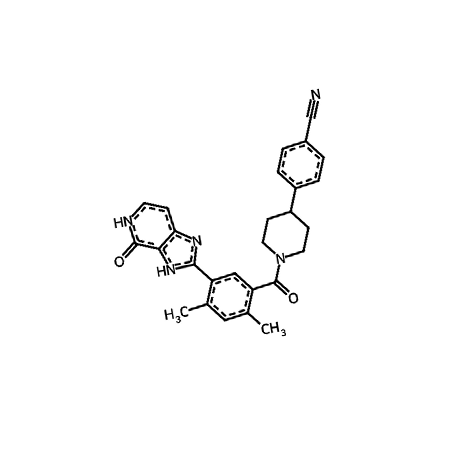 Cc1cc(C)c(-c2nc3cc[nH]c(=O)c3[nH]2)cc1C(=O)N1CCC(c2ccc(C#N)cc2)CC1